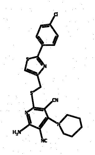 [C-]#[N+]c1c(N)nc(SCc2csc(-c3ccc(Cl)cc3)n2)c(C#N)c1N1CCCCC1